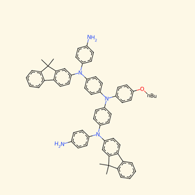 CCCCOc1ccc(N(c2ccc(N(c3ccc(N)cc3)c3ccc4c(c3)C(C)(C)c3ccccc3-4)cc2)c2ccc(N(c3ccc(N)cc3)c3ccc4c(c3)C(C)(C)c3ccccc3-4)cc2)cc1